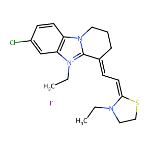 CCN1CCSC1=CC=C1CCCn2c1[n+](CC)c1cc(Cl)ccc12.[I-]